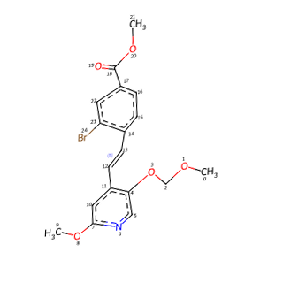 COCOc1cnc(OC)cc1/C=C/c1ccc(C(=O)OC)cc1Br